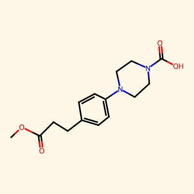 COC(=O)CCc1ccc(N2CCN(C(=O)O)CC2)cc1